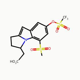 CS(=O)(=O)c1cc(OS(=O)(=O)C(F)(F)F)cc2cc3n(c12)C(CC(=O)O)CC3